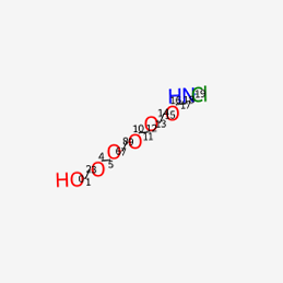 OCCOCCOCCOCCOCCOCCNCl